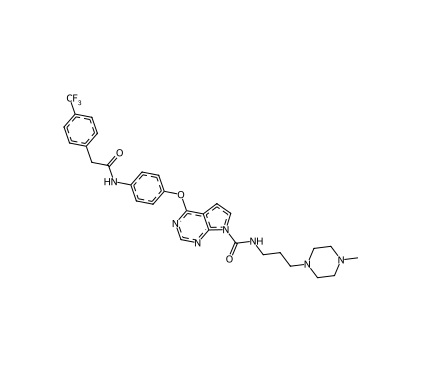 CN1CCN(CCCNC(=O)n2ccc3c(Oc4ccc(NC(=O)Cc5ccc(C(F)(F)F)cc5)cc4)ncnc32)CC1